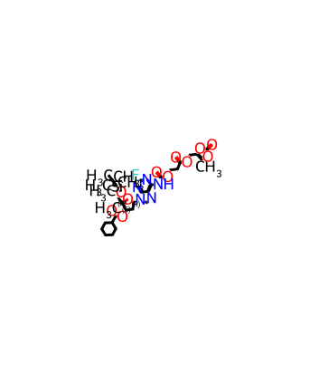 Cc1oc(=O)oc1COC(=O)CCOC(=O)Nc1nc(F)nc2c1ncn2[C@H]1C[C@H](OC(=O)C2CCCCC2)[C@@](C)(CO[Si](C)(C)C(C)(C)C)O1